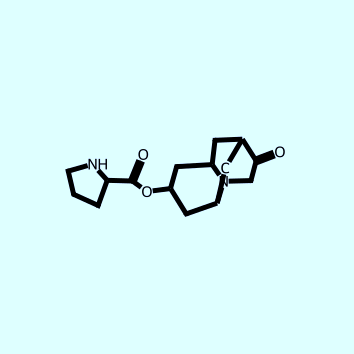 O=C1CN2C3CC(OC(=O)C4CCCN4)CC2CC1C3